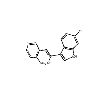 COc1ccncc1C=C(C#N)c1c[nH]c2cc(Cl)ccc12